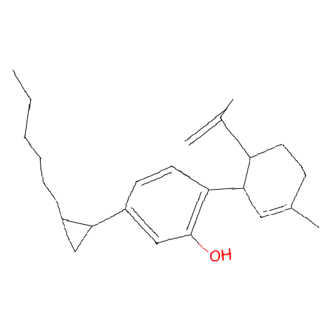 C=C(C)C1CCC(C)=CC1c1ccc(C2CC2CCCCC)cc1O